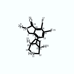 [2H]N1Cc2c(C3[C@@H]4CC[C@H]3CNC4)cc(F)c(F)c2C1=O